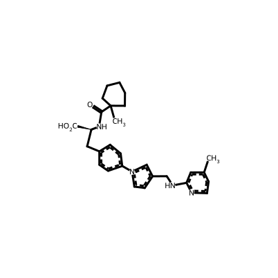 Cc1ccnc(NCc2ccn(-c3ccc(C[C@H](NC(=O)C4(C)CCCCC4)C(=O)O)cc3)c2)c1